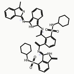 C=C1N/C(=N\C(=C)c2cccc(S(=O)(=O)NC3CCCCC3)c2/C(C)=N/c2[nH]c(/N=C3\N=C(C)c4ccccc43)c3ccccc23)c2c1cccc2S(=O)(=O)NC1CCCCC1